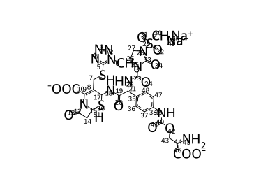 Cn1nnnc1SCC1=C(C(=O)[O-])N2C(=O)C[C@@H]2SC1NC(=O)C(NC(=O)N1CCN(S(C)(=O)=O)C1=O)c1ccc(NC(=O)OC[C@@H](N)C(=O)[O-])cc1.[Na+].[Na+]